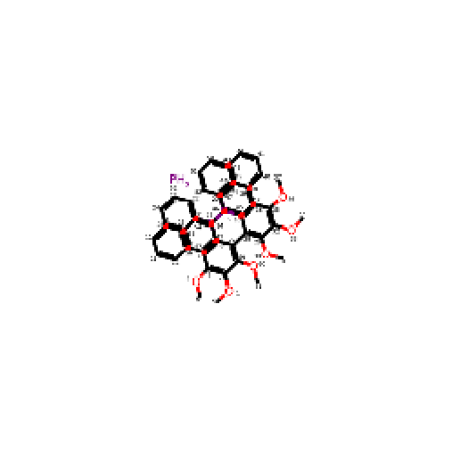 COc1c(OC)c(-c2ccccc2)c(P(c2ccccc2)c2ccccc2)c(-c2c(OC)c(OC)c(OC)c(-c3ccccc3)c2P(c2ccccc2)c2ccccc2)c1OC.P